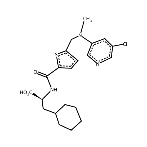 CN(Cc1ccc(C(=O)N[C@@H](CC2CCCCC2)C(=O)O)s1)c1cncc(Cl)c1